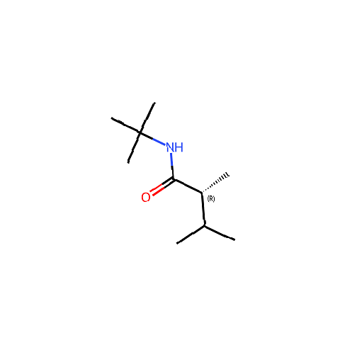 CC(C)[C@@H](C)C(=O)NC(C)(C)C